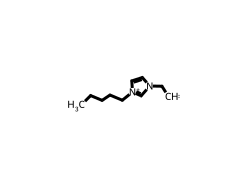 [CH]Cn1cc[n+](CCCCC)c1